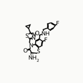 N[C@H]1CSc2cc(F)c(C(=O)NCc3ccc(F)cc3)cc2N(Cc2nnc(C3CC3)s2)C1=O